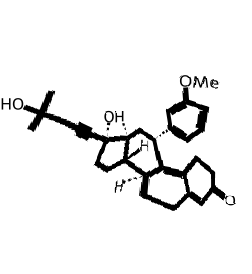 COc1cccc([C@H]2C[C@@]3(C)[C@@H](CC[C@@]3(O)C#CC(C)(C)O)[C@@H]3CCC4=CC(=O)CCC4=C32)c1